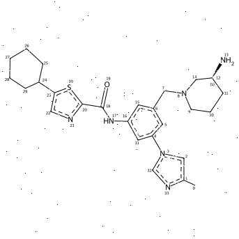 Cc1cn(-c2cc(CN3CCC[C@H](N)C3)cc(NC(=O)c3ncc(C4CCCCC4)s3)c2)cn1